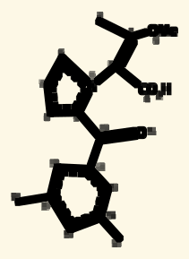 COC(C)=C(C(=O)O)n1cccc1C(=O)c1cc(C)cc(C)c1